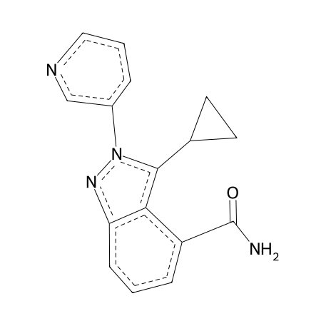 NC(=O)c1cccc2nn(-c3cccnc3)c(C3CC3)c12